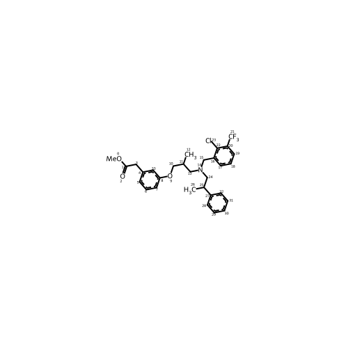 COC(=O)Cc1cccc(OCC(C)CN(Cc2cccc(C(F)(F)F)c2Cl)CC(C)c2ccccc2)c1